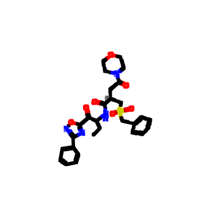 CCC(NC(=O)[C@@H](CC(=O)N1CCOCC1)CS(=O)(=O)Cc1ccccc1)C(=O)c1nc(-c2ccccc2)no1